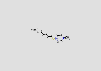 CSCCCCCCSN1CCN(C)CC1